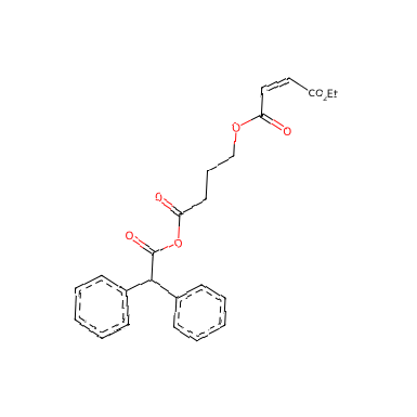 CCOC(=O)/C=C\C(=O)OCCCC(=O)OC(=O)C(c1ccccc1)c1ccccc1